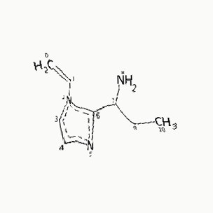 C=Cn1ccnc1C(N)CC